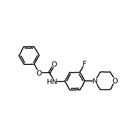 O=C(Nc1ccc(N2CCOCC2)c(F)c1)Oc1ccccc1